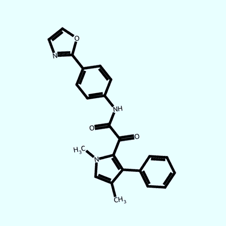 Cc1cn(C)c(C(=O)C(=O)Nc2ccc(-c3ncco3)cc2)c1-c1ccccc1